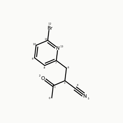 CC(=O)C(C#N)Cc1cccc(Br)n1